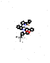 CC(C)(C)c1ccc(N2c3cc4oc5ccccc5c4cc3B3c4c2cc2ccccc2c4-c2cccc4c5c6ccccc6sc5n3c24)c(-c2ccccc2)c1